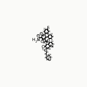 COc1cc2c(Oc3ccccc3-c3c4c(c(C(N)=O)c(=O)n3-c3ccc(F)cc3)OCC4F)ccnc2cc1OCCN1CCOCC1